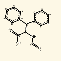 O=CNC(C(=O)O)C(c1ccccc1)c1ccccc1